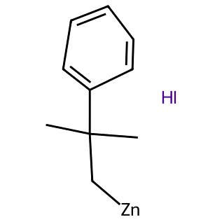 CC(C)([CH2][Zn])c1ccccc1.I